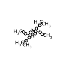 Cc1ccc2cc(-c3c4cc(-c5ccc(C(C)C)cc5)ccc4c4nc5ccc6c(-c7ccc8cc(C)ccc8c7)c7cc(-c8ccc(C(C)C)cc8)ccc7c7nc8ccc3c4c8c5c67)ccc2c1